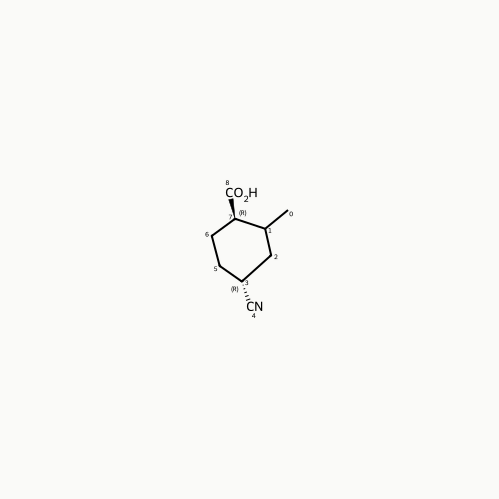 CC1C[C@H](C#N)CC[C@H]1C(=O)O